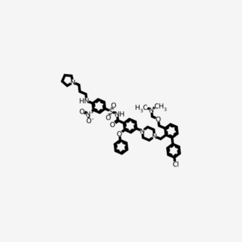 CN(C)COCc1cccc(-c2ccc(Cl)cc2)c1CN1CCN(c2ccc(C(=O)NS(=O)(=O)c3ccc(NCCCN4CCCC4)c([N+](=O)[O-])c3)c(Oc3ccccc3)c2)CC1